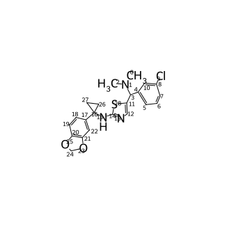 CN(C)C(c1cccc(Cl)c1)c1cnc(NC2(c3ccc4c(c3)OCO4)CC2)s1